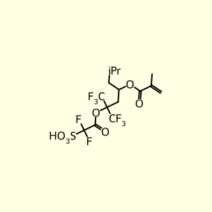 C=C(C)C(=O)OC(CC(C)C)CC(OC(=O)C(F)(F)S(=O)(=O)O)(C(F)(F)F)C(F)(F)F